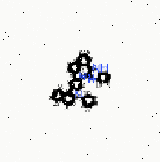 c1ccc(C2Nc3ccccc3N=C2n2c3ccccc3c3cc4c5c6ccccc6ccc5n(-c5ccccc5)c4cc32)cc1